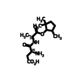 CC1CCC(C)(C)C1OC(=O)[C@@H](C)NC(=O)[C@@H](N)CC(=O)O